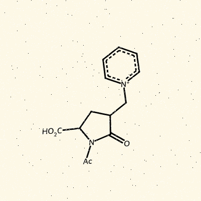 CC(=O)N1C(=O)C(C[n+]2ccccc2)CC1C(=O)O